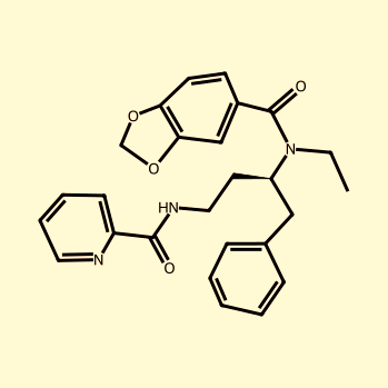 CCN(C(=O)c1ccc2c(c1)OCO2)[C@H](CCNC(=O)c1ccccn1)Cc1ccccc1